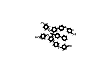 CC(c1ccc(-c2ccccc2)cc1)(c1cc(-c2ccc(Oc3ccc(O)cc3)cc2)ccc1Oc1ccc(O)cc1)c1cc(-c2ccc(Oc3ccc(O)cc3)cc2)ccc1Oc1ccc(O)cc1